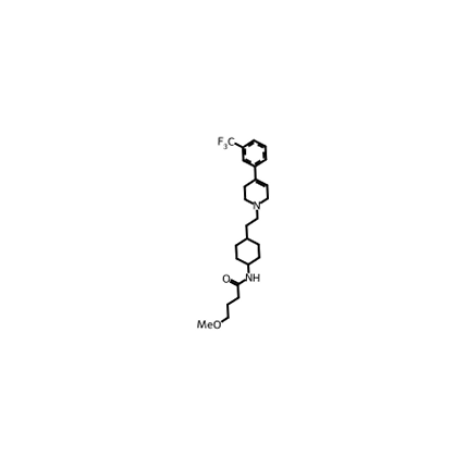 COCCCC(=O)NC1CCC(CCN2CC=C(c3cccc(C(F)(F)F)c3)CC2)CC1